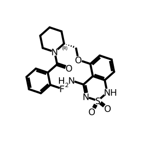 NC1=NS(=O)(=O)Nc2cccc(OC[C@H]3CCCCN3C(=O)c3ccccc3F)c21